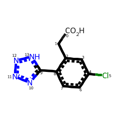 O=C(O)Cc1cc(Cl)ccc1-c1nnn[nH]1